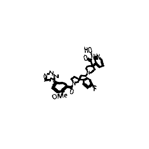 COc1ccc(-n2cnnn2)cc1C(=O)N1CCC(CCN2CCC(C(=O)NO)(c3cccnc3)CC2)(c2ccc(F)cc2)C1